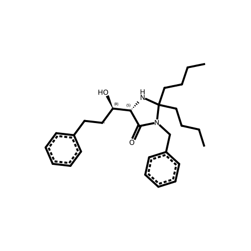 CCCCC1(CCCC)N[C@@H]([C@H](O)[CH]Cc2ccccc2)C(=O)N1Cc1ccccc1